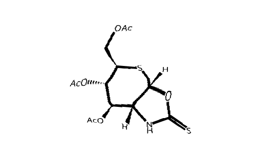 CC(=O)OC[C@H]1S[C@@H]2OC(=S)N[C@@H]2[C@@H](OC(C)=O)[C@@H]1OC(C)=O